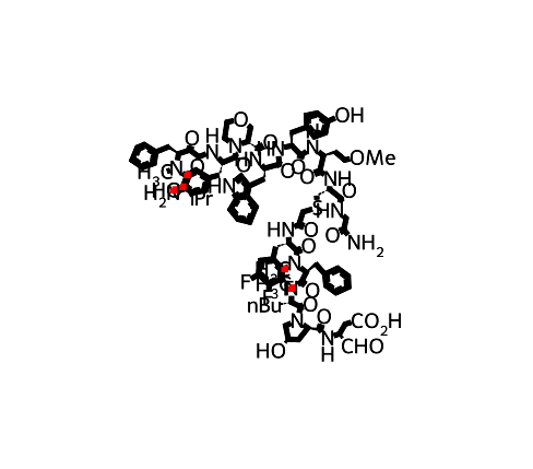 CCCC[C@@H](C(=O)N1C[C@H](O)C[C@@H]1C(=O)N[C@H](C=O)CC(=O)O)N(C)C(=O)[C@H](Cc1ccccc1)N(C)C(=O)[C@H](Cc1cc(F)c(F)c(F)c1)NC(=O)CSC[C@H](NC(=O)[C@H](CCOC)NC(=O)[C@H](Cc1ccc(O)cc1)NC(=O)[C@H](Cc1c[nH]c2ccccc12)NC(=O)[C@H]1COCCN1C(=O)[C@H](Cc1ccc(O)cc1)NCC(=O)[C@H](Cc1ccccc1)N(C)C(=O)[C@@H](N)C(C)C)C(=O)NCC(N)=O